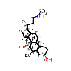 CC[C@@H]1C2C[C@H](O)CC[C@]2(C)[C@H]2CC[C@]3(C)[C@@H]([C@H](C)CCNS(=O)(=O)O)CC[C@H]3[C@@H]2[C@@H]1O